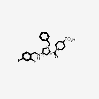 O=C(O)C1CCN(C(=O)[C@@H]2C[C@H](NCc3ccc(F)cc3F)CN2Cc2ccccc2)CC1